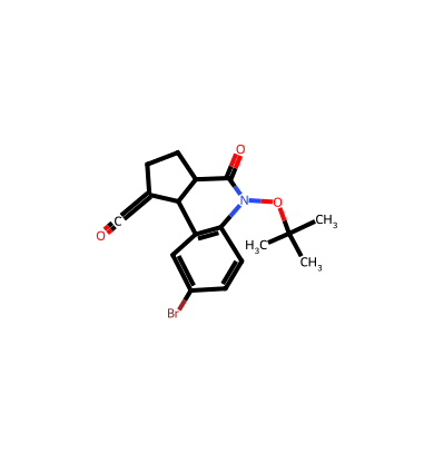 CC(C)(C)ON1C(=O)C2CCC(=C=O)C2c2cc(Br)ccc21